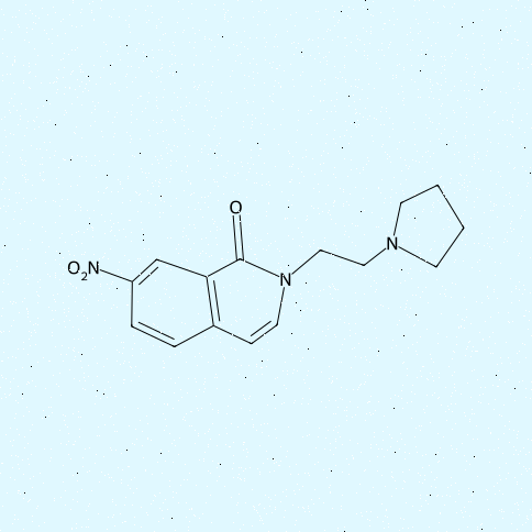 O=c1c2cc([N+](=O)[O-])ccc2ccn1CCN1CCCC1